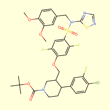 COc1ccc(CN(c2ncns2)S(=O)(=O)c2cc(F)c(OCC3CN(C(=O)OC(C)(C)C)CCC3c3ccc(Cl)c(F)c3)cc2F)cc1OC